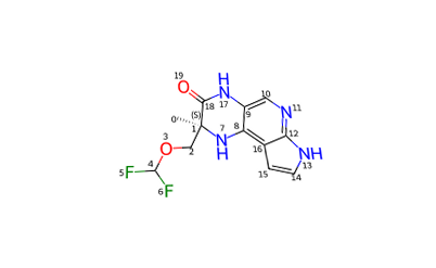 C[C@@]1(COC(F)F)Nc2c(cnc3[nH]ccc23)NC1=O